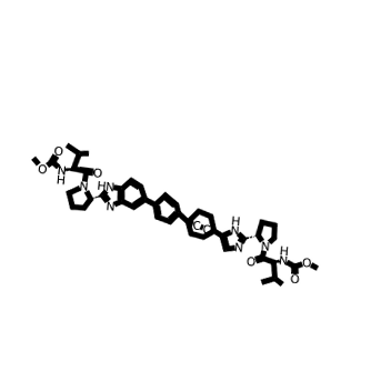 COC(=O)N[C@H](C(=O)N1CCC[C@H]1c1ncc(C23CCC(c4ccc(-c5ccc6[nH]c([C@@H]7CCCN7C(=O)[C@@H](NC(=O)OC)C(C)C)nc6c5)cc4)(CC2)CC3)[nH]1)C(C)C